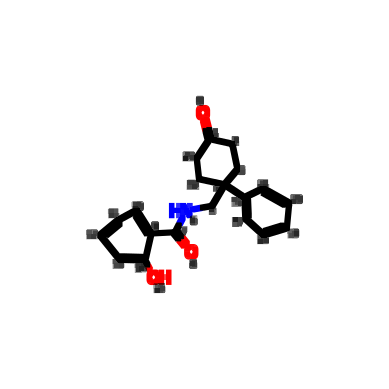 O=C1CCC(CNC(=O)c2ccccc2O)(c2ccccc2)CC1